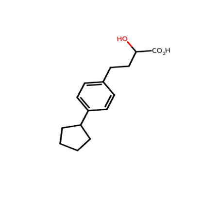 O=C(O)C(O)CCc1ccc(C2CCCC2)cc1